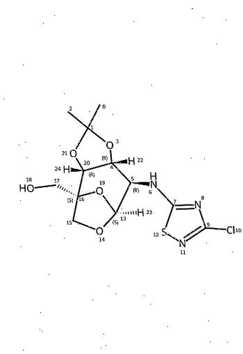 CC1(C)O[C@@H]2[C@@H](Nc3nc(Cl)ns3)[C@H]3OC[C@](CO)(O3)[C@@H]2O1